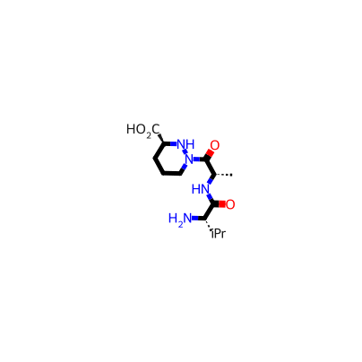 CC(C)[C@H](N)C(=O)N[C@@H](C)C(=O)N1CCC[C@@H](C(=O)O)N1